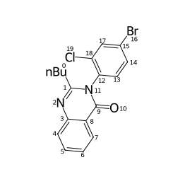 CCCCc1nc2ccccc2c(=O)n1-c1ccc(Br)cc1Cl